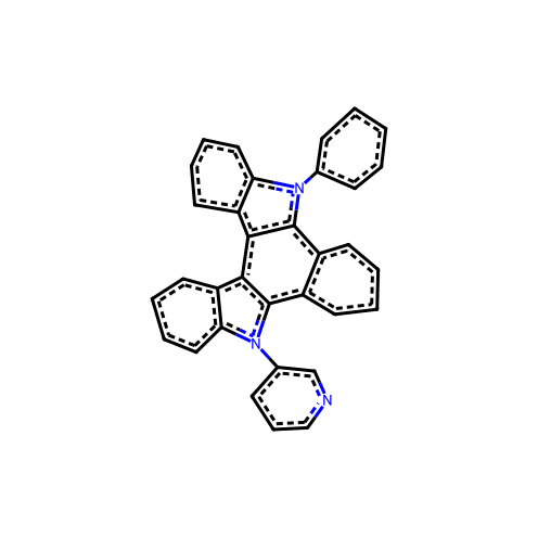 c1ccc(-n2c3ccccc3c3c4c5ccccc5n(-c5cccnc5)c4c4ccccc4c32)cc1